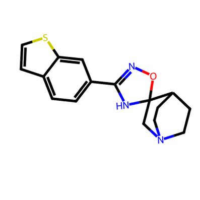 c1cc2ccc(C3=NOC4(CN5CCC4CC5)N3)cc2s1